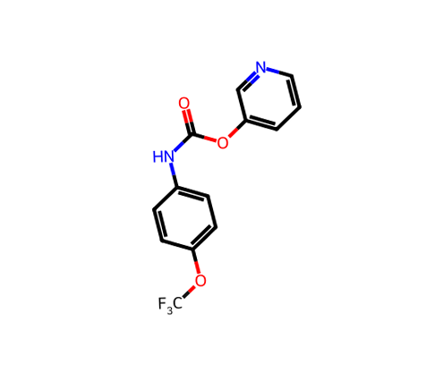 O=C(Nc1ccc(OC(F)(F)F)cc1)Oc1cccnc1